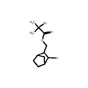 CCC1C2CCC(C2)C1COC(=O)C(C)(C)CC